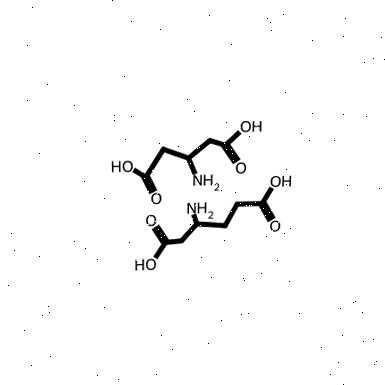 NC(CC(=O)O)CC(=O)O.NC(CCC(=O)O)CC(=O)O